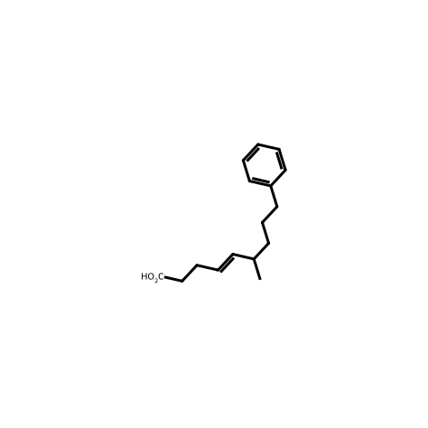 CC(/C=C/CCC(=O)O)CCCc1ccccc1